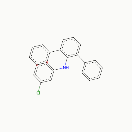 Clc1cccc(Nc2c(-c3ccccc3)cccc2-c2ccccc2)c1